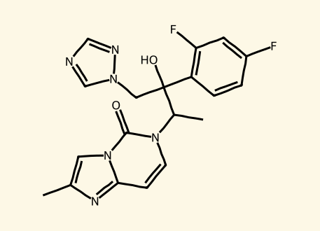 Cc1cn2c(=O)n(C(C)C(O)(Cn3cncn3)c3ccc(F)cc3F)ccc2n1